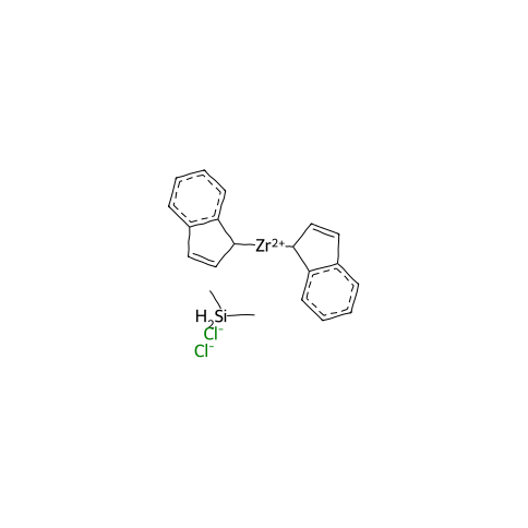 C1=C[CH]([Zr+2][CH]2C=Cc3ccccc32)c2ccccc21.C[SiH2]C.[Cl-].[Cl-]